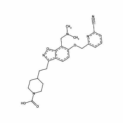 CN(C)Cc1c(OCc2cccc(C#N)n2)ccc2c(CCC3CCN(C(=O)O)CC3)noc12